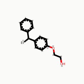 CCC(c1ccccc1)c1ccc(OCCO)cc1